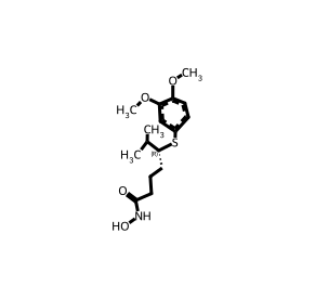 COc1ccc(S[C@H](CCCC(=O)NO)C(C)C)cc1OC